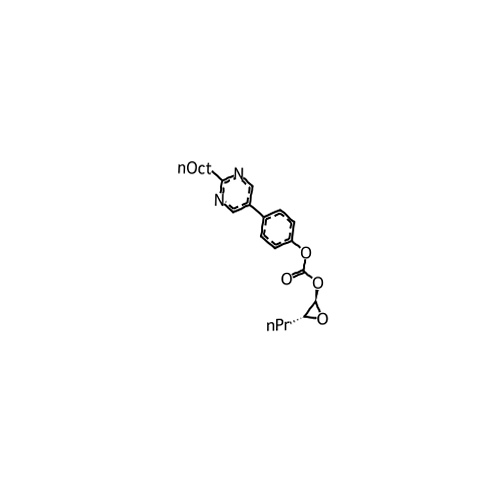 CCCCCCCCc1ncc(-c2ccc(OC(=O)O[C@H]3O[C@@H]3CCC)cc2)cn1